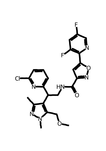 COCc1c(C(CNC(=O)c2cc(-c3ncc(F)cc3F)on2)c2cccc(Cl)n2)c(C)nn1C